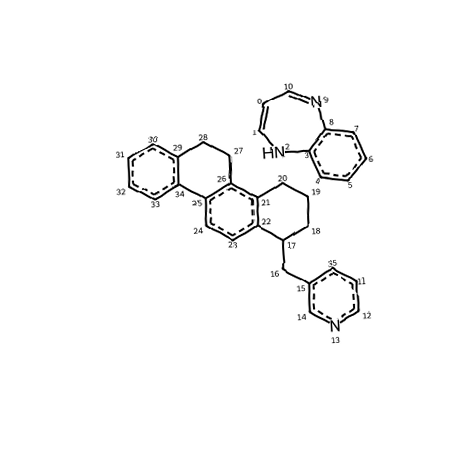 C1=CNc2ccccc2N=C1.c1cncc(CC2CCCc3c2ccc2c3CCc3ccccc3-2)c1